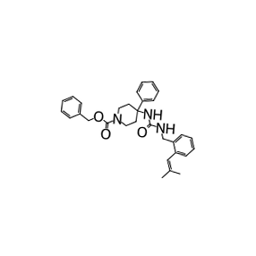 CC(C)=Cc1ccccc1CNC(=O)NC1(c2ccccc2)CCN(C(=O)OCc2ccccc2)CC1